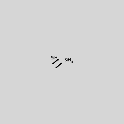 CC.CC.[SiH4].[SiH4]